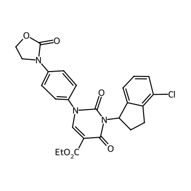 CCOC(=O)c1cn(-c2ccc(N3CCOC3=O)cc2)c(=O)n(C2CCc3c(Cl)cccc32)c1=O